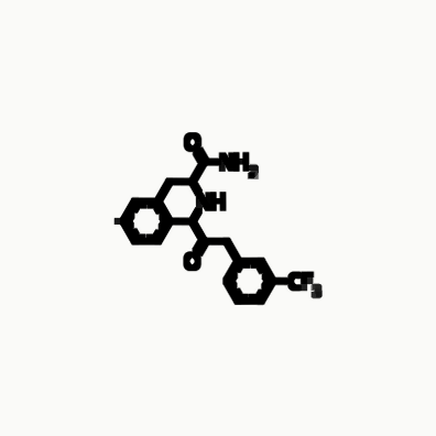 NC(=O)C1Cc2c[c]ccc2C(C(=O)Cc2cccc(C(F)(F)F)c2)N1